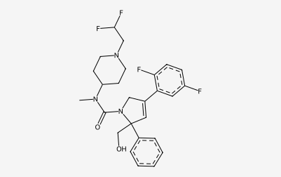 CN(C(=O)N1CC(c2cc(F)ccc2F)=CC1(CO)c1ccccc1)C1CCN(CC(F)F)CC1